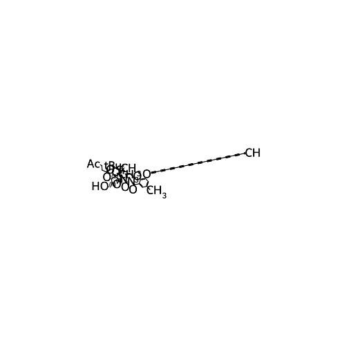 C#CC#CC#CC#CC#CC#CC#CC#CC#CC#CC#COc1cc(C)cc(C(=O)n2c(=O)ccn([C@@H]3O[C@H](CO)C(OC(=O)CCC(C)=O)[C@@H]3O[Si](C)(C)C(C)(C)C)c2=O)c1